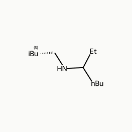 CCCCC(CC)NC[C@@H](C)CC